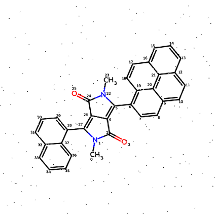 CN1C(=O)C2=C(c3ccc4ccc5cccc6ccc3c4c56)N(C)C(=O)C2=C1c1cccc2ccccc12